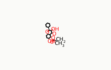 C=C(C)C(=O)Oc1c(O)ccc2oc(-c3ccccc3)c(O)c(=O)c12